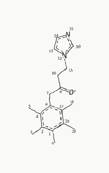 Cc1c(C)c(C)c(CC(=O)CCn2ccnc2)c(C)c1C